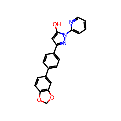 Oc1cc(-c2ccc(-c3ccc4c(c3)OCO4)cc2)nn1-c1ccccn1